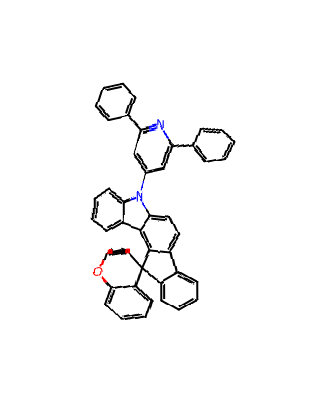 c1ccc(-c2cc(-n3c4ccccc4c4c5c(ccc43)-c3ccccc3C53c4ccccc4Oc4ccccc43)cc(-c3ccccc3)n2)cc1